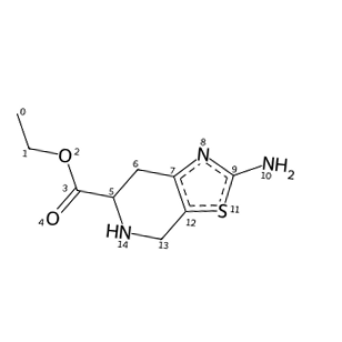 CCOC(=O)C1Cc2nc(N)sc2CN1